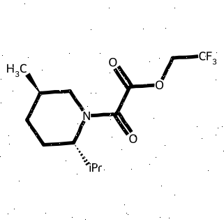 CC(C)[C@@H]1CC[C@@H](C)CN1C(=O)C(=O)OCC(F)(F)F